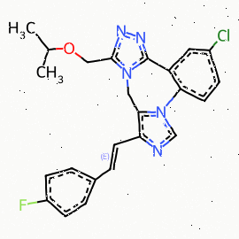 CC(C)OCc1nnc2n1Cc1c(/C=C/c3ccc(F)cc3)ncn1-c1ccc(Cl)cc1-2